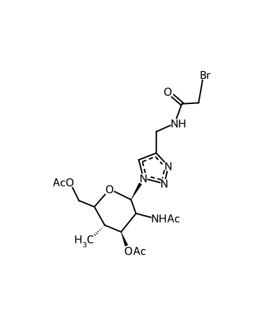 CC(=O)NC1[C@@H](OC(C)=O)[C@H](C)C(COC(C)=O)O[C@H]1n1cc(CNC(=O)CBr)nn1